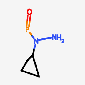 NN(P=O)C1CC1